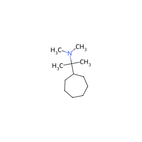 CN(C)C(C)(C)C1CCCCCC1